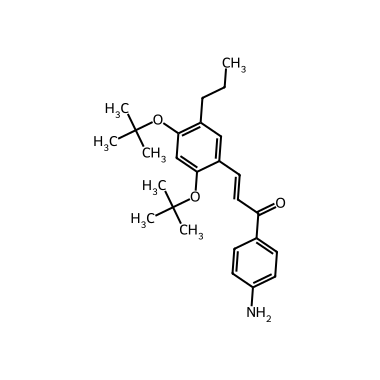 CCCc1cc(C=CC(=O)c2ccc(N)cc2)c(OC(C)(C)C)cc1OC(C)(C)C